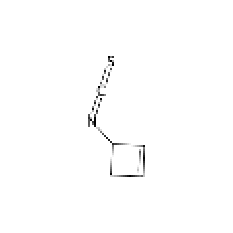 S=C=NC1C=CC1